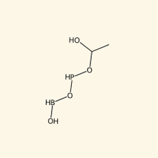 CC(O)OPOBO